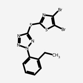 CCc1ccccc1-n1nnc(Sc2nc(Br)c(Br)s2)n1